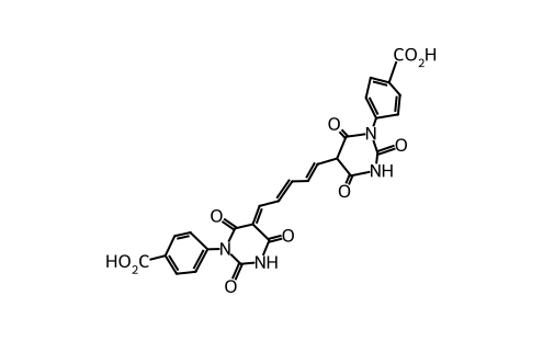 O=C1NC(=O)N(c2ccc(C(=O)O)cc2)C(=O)/C1=C/C=C/C=C/C1C(=O)NC(=O)N(c2ccc(C(=O)O)cc2)C1=O